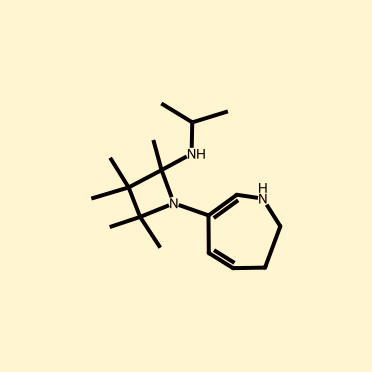 CC(C)NC1(C)N(C2=CNCCC=C2)C(C)(C)C1(C)C